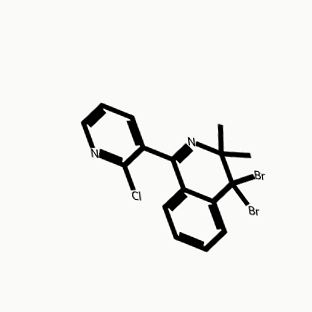 CC1(C)N=C(c2cccnc2Cl)c2ccccc2C1(Br)Br